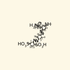 Cc1cc(N=Nc2cc(S(=O)(=O)O)ccc2S(=O)(=O)O)c(C)cc1N=Nc1ccc([NH])cc1NC(N)=O